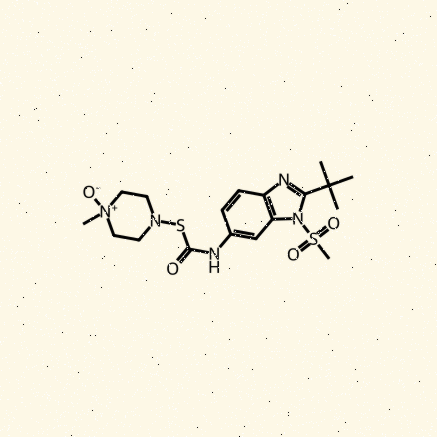 CC(C)(C)c1nc2ccc(NC(=O)SN3CC[N+](C)([O-])CC3)cc2n1S(C)(=O)=O